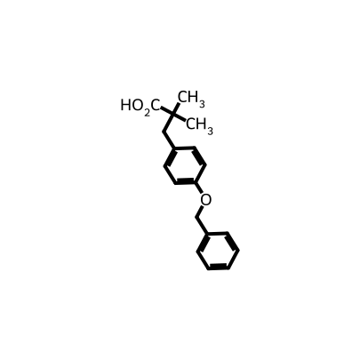 CC(C)(Cc1ccc(OCc2ccccc2)cc1)C(=O)O